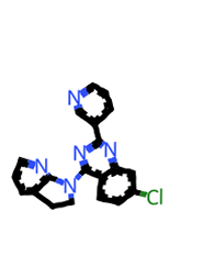 Clc1ccc2c(N3CCc4cccnc43)nc(-c3cccnc3)nc2c1